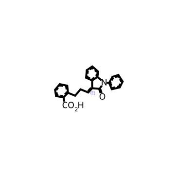 O=C(O)c1ccccc1CC/C=C1/C(=O)N(c2ccccc2)c2ccccc21